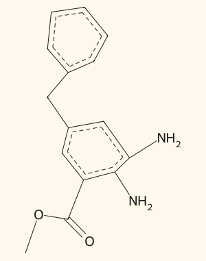 COC(=O)c1cc(Cc2ccccc2)cc(N)c1N